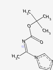 C/C(=N/C(=O)OC(C)(C)C)n1ccnc1